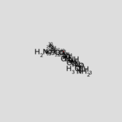 CC(C)(N)C(=O)N1CCN(C(=O)Nc2ccn(-c3ccc4c(c3)CCC(N(CC3CC3)[C@H]3CC[C@H](N)C3)C4)c(=O)n2)CC1